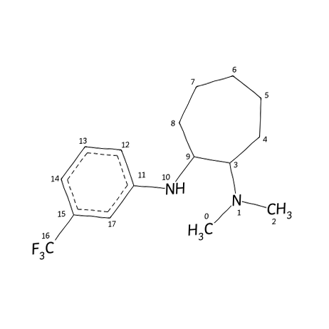 CN(C)C1CCCCCC1Nc1cccc(C(F)(F)F)c1